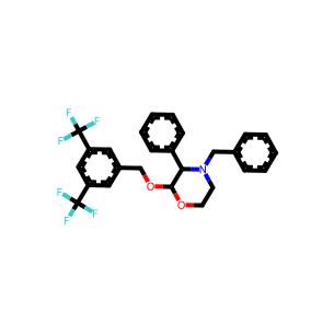 FC(F)(F)c1cc(COC2OCCN(Cc3ccccc3)C2c2ccccc2)cc(C(F)(F)F)c1